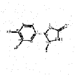 C[C@@H]1NC(=O)O[C@H]1c1ccc(F)c(F)c1